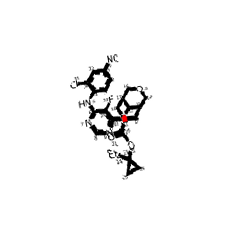 [C-]#[N+]c1ccc(Nc2ncnc(OC3C4COCC3CN(C(=O)OC3(CC)CC3)C4)c2F)c(Cl)c1